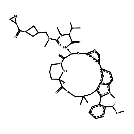 CO[C@@H](C)c1ncccc1-c1c2c3cc(ccc3n1C)-c1csc(n1)C[C@H](NC(=O)[C@H](C(C)C)N(C)C(=O)N(C)CC1CN(C(=O)[C@H]3CN3)C1)C(=O)N1CCC[C@H](N1)C(=O)OCC(C)(C)C2